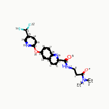 CCN(CC)C(=O)CCNC(=O)c1ccc2cc(Oc3ccc(C(F)F)cn3)ccc2n1